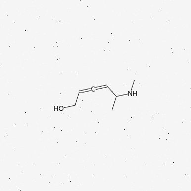 CNC(C)C=C=CCO